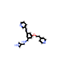 C(=C\c1cc(CNCC2CNC2)cc(OCCc2ccncc2)c1)/c1cccnc1